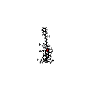 CC(=O)O[C@@H]1C[C@]23COC[C@@](C)([C@@H]2CC[C@H]2C3=CC[C@@]3(C)[C@H](C(=O)O)[C@@](C)([C@H](C)C(C)C)CC[C@]23C)[C@H]1OC(=O)C(N)CCCCNC(=O)Cc1ccccc1